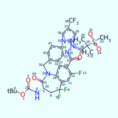 CC(C)(C)OC(=O)N[C@H]1CC(F)(F)c2cc(F)c(-c3nnc(C(C)(C)S(C)(=O)=O)o3)cc2N(Cc2ccc(-n3cc(C(F)(F)F)cn3)cc2)C1=O